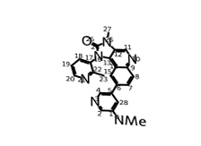 CNc1cncc(-c2ccc3ncc4c(c3c2)n(-c2cccnc2C)c(=O)n4C)c1